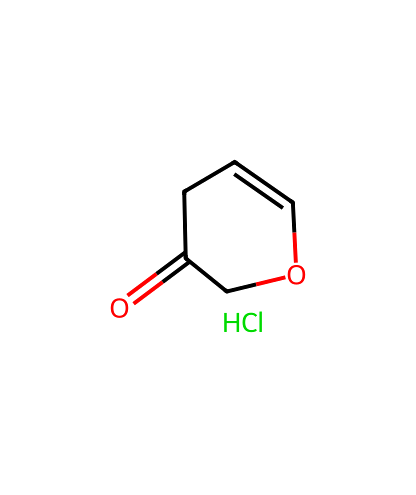 Cl.O=C1CC=COC1